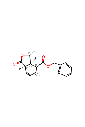 C[C@@H]1C=C[C@H]2C(=O)O[C@H](C)[C@H]2[C@H]1C(=O)OCc1ccccc1